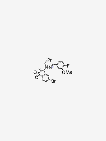 COc1cc(/C=N/N(CC(C)C)C2=NS(=O)(=O)c3ccc(Br)cc32)ccc1F